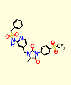 CC1C(=O)N(c2ccc(S(=O)(=O)C(F)(F)F)cc2)C(=O)N1Cc1ccnc(NS(=O)(=O)Cc2ccccc2)c1